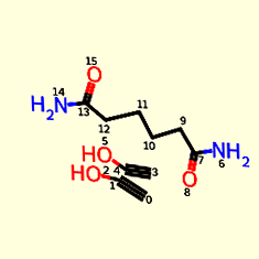 C#CO.C#CO.NC(=O)CCCCC(N)=O